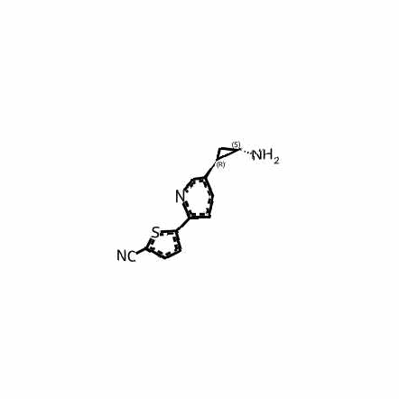 N#Cc1ccc(-c2ccc([C@H]3C[C@@H]3N)cn2)s1